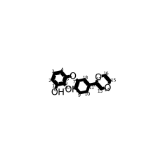 Oc1cccc(OC2=CCCC(C3=COC=CO3)=C2)c1O